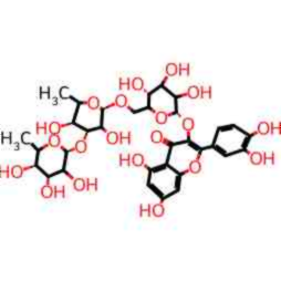 CC1O[C@@H](O[C@@H]2C(O)[C@H](OCC3O[C@@H](Oc4c(-c5ccc(O)c(O)c5)oc5cc(O)cc(O)c5c4=O)C(O)C(O)[C@H]3O)OC(C)[C@@H]2O)C(O)[C@@H](O)[C@H]1O